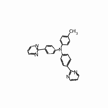 Cc1ccc(N(c2ccc(-c3ncccn3)cc2)c2ccc(-c3ncccn3)cc2)cc1